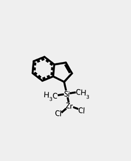 C[Si](C)(C1C=Cc2ccccc21)[Zr]([Cl])[Cl]